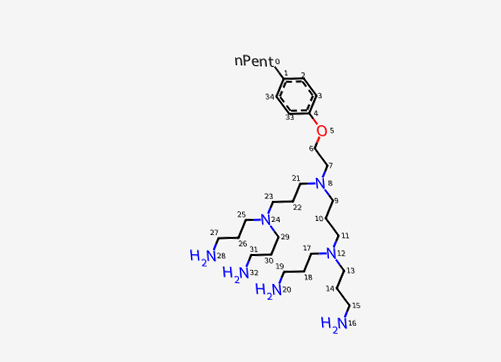 CCCCCc1ccc(OCCN(CCCN(CCCN)CCCN)CCCN(CCCN)CCCN)cc1